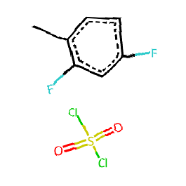 Cc1ccc(F)cc1F.O=S(=O)(Cl)Cl